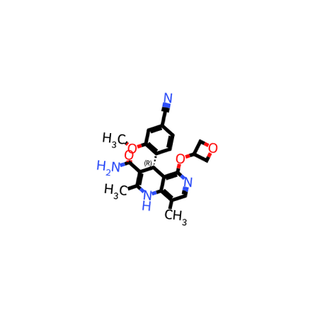 COc1cc(C#N)ccc1[C@H]1C(C(N)=O)=C(C)Nc2c(C)cnc(OC3COC3)c21